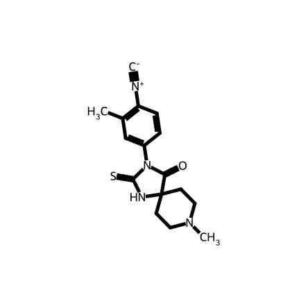 [C-]#[N+]c1ccc(N2C(=O)C3(CCN(C)CC3)NC2=S)cc1C